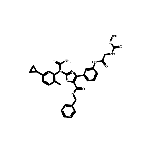 Cc1ccc(C2CC2)cc1N(C(N)=O)c1nc(-c2cccc(NC(=O)CNC(=O)OC(C)(C)C)c2)c(C(=O)NCc2ccccc2)s1